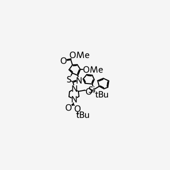 COC(=O)c1cc(OC)c2nc(N3CCN(C(=O)OC(C)(C)C)CC3CO[Si](c3ccccc3)(c3ccccc3)C(C)(C)C)sc2c1